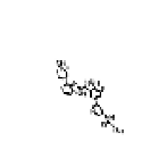 CN1CCN(c2nccc3[nH]c(-c4n[nH]c5c(F)cc(-c6cncc(NC(=O)CC(C)(C)C)c6)cc45)nc23)CC1